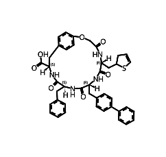 O=C1COc2ccc(cc2)C[C@@H](C(=O)O)NC(=O)[C@H](Cc2ccccc2)NC(=O)[C@@H](Cc2ccc(-c3ccccc3)cc2)NC(=O)[C@@H](CC2CC=CS2)N1